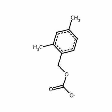 Cc1ccc(COC([O])=O)c(C)c1